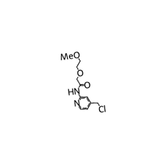 COCCOCC(=O)Nc1cc(CCl)ccn1